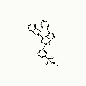 NS(=O)(=O)c1cncc(-c2nc(N3Cc4ccccc4C3)c3c(-c4ccccc4)ccn3n2)c1